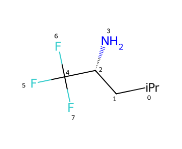 CC(C)C[C@@H](N)C(F)(F)F